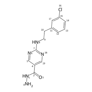 NNC(=O)c1cnc(NCCc2cccc(Cl)c2)nc1